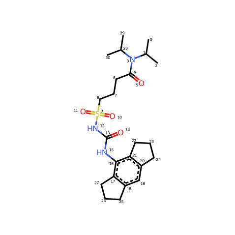 CC(C)N(C(=O)CCCS(=O)(=O)NC(=O)Nc1c2c(cc3c1CCC3)CCC2)C(C)C